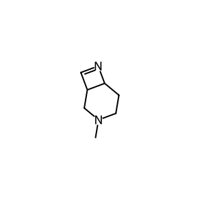 CN1CCC2N=CC2C1